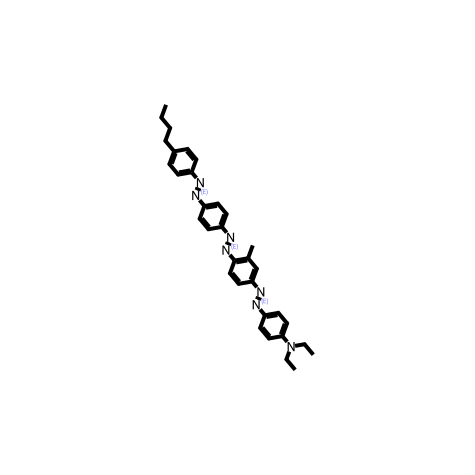 CCCCc1ccc(/N=N/c2ccc(/N=N/c3ccc(/N=N/c4ccc(N(CC)CC)cc4)cc3C)cc2)cc1